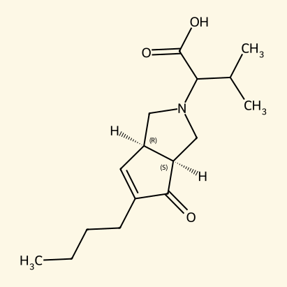 CCCCC1=C[C@H]2CN(C(C(=O)O)C(C)C)C[C@H]2C1=O